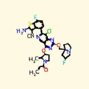 C=CC(=O)N1CCC(Oc2nc(OCC34CCCN3CC(F)C4)nc3c(Cl)c(-c4ccc(F)c5sc(N)c(C#N)c45)ncc23)C1C